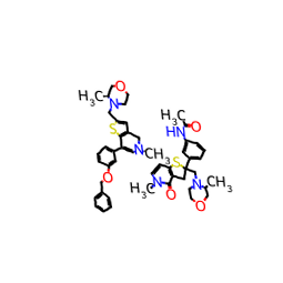 CC(=O)Nc1cccc(C2(CN3CCOCC3C)Cc3c(ccn(C)c3=O)S2)c1.C[C@H]1COCCN1Cc1cc2c(s1)C(c1cccc(OCc3ccccc3)c1)=CN(C)C2